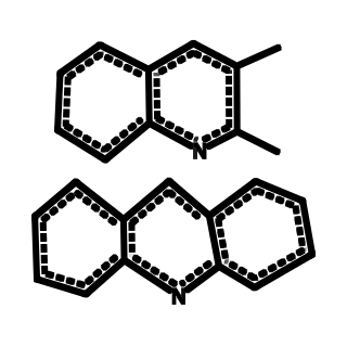 Cc1cc2ccccc2nc1C.c1ccc2nc3ccccc3cc2c1